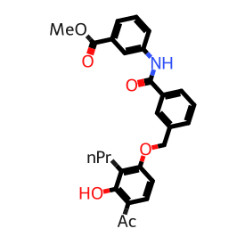 CCCc1c(OCc2cccc(C(=O)Nc3cccc(C(=O)OC)c3)c2)ccc(C(C)=O)c1O